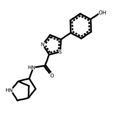 O=C(NC1CC2CNC1C2)c1ncc(-c2ccc(O)cc2)s1